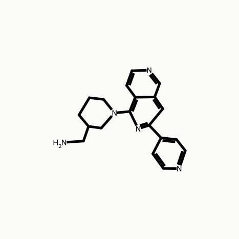 NCC1CCCN(c2nc(-c3ccncc3)cc3cnccc23)C1